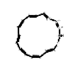 C1=C\C=C\C=C/C=C/C=N/N=N\NO\C=C\C=C/1